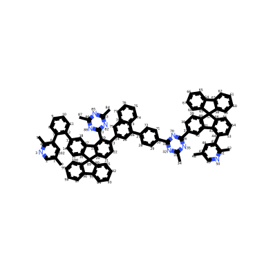 Cc1cnc(C)c(-c2ccccc2-c2ccc3c(c2)-c2c(ccc(-c4cc(-c5ccc(-c6nc(C)nc(-c7ccc8c(c7)-c7c(-c9cc(C)cnc9C)cccc7C87c8ccccc8-c8ccccc87)n6)cc5)c5ccccc5c4)c2-c2nc(C)nc(C)n2)C32c3ccccc3-c3ccccc32)c1